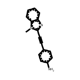 Cn1c(C#Cc2ccc(N)cc2)nc2ccccc21